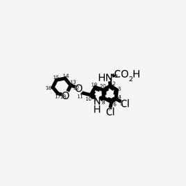 O=C(O)Nc1cc(Cl)c(Cl)c2[nH]c(COC3CCCCO3)cc12